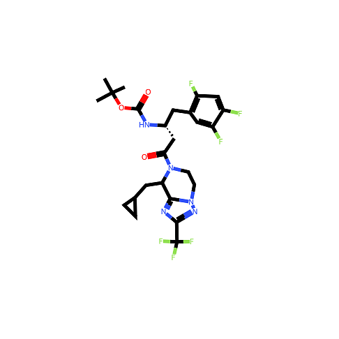 CC(C)(C)OC(=O)N[C@@H](CC(=O)N1CCn2nc(C(F)(F)F)nc2C1CC1CC1)Cc1cc(F)c(F)cc1F